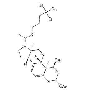 CCC(O)(CC)CCCSC(C)[C@H]1CC[C@H]2C3=CC=C4C[C@@H](OC(C)=O)C[C@H](OC(C)=O)[C@]4(C)[C@H]3CC[C@]12C